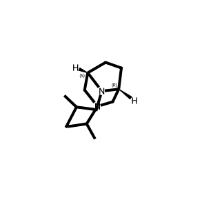 CC(C)CN1[C@@H]2CC[C@H]1CN(C(C)C)C2